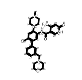 CN1CCN(c2cc(Cl)c(-c3cccc(CN4CCOCC4)c3)cc2NC(=O)c2c[nH]c(=O)cc2C(F)(F)F)CC1